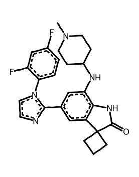 CN1CCC(Nc2cc(-c3nccn3-c3ccc(F)cc3F)cc3c2NC(=O)C32CCC2)CC1